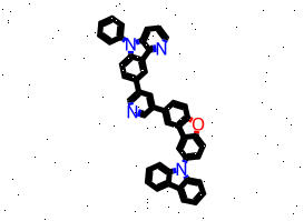 c1ccc(-n2c3ccc(-c4cncc(-c5ccc6oc7ccc(-n8c9ccccc9c9ccccc98)cc7c6c5)c4)cc3c3ncccc32)cc1